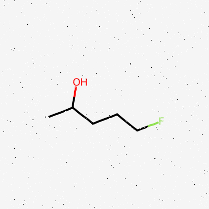 [CH2]C(O)CCCF